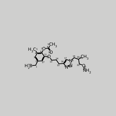 BCc1cc(C)c(OC(C)=O)c(OCCCc2cn(CC(C)CON)nn2)c1